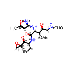 COC(C(=O)CNC=O)[C@H](Nc1cc(C)on1)C(=O)N[C@@H](CC(C)C)C(=O)C1(C)CO1